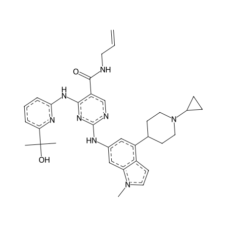 C=CCNC(=O)c1cnc(Nc2cc(C3CCN(C4CC4)CC3)c3ccn(C)c3c2)nc1Nc1cccc(C(C)(C)O)n1